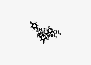 CCC(C(N)=O)(c1cc(C)ccc1C)n1cc(F)cc2nc(SCc3ccc(F)cc3)nc1-2